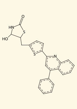 O=C1NC(O)C(Cc2ccc(-c3cc(-c4ccccc4)c4ccccc4n3)s2)S1